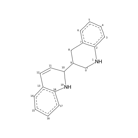 [C]1Nc2ccccc2CC1C1C=Cc2ccccc2N1